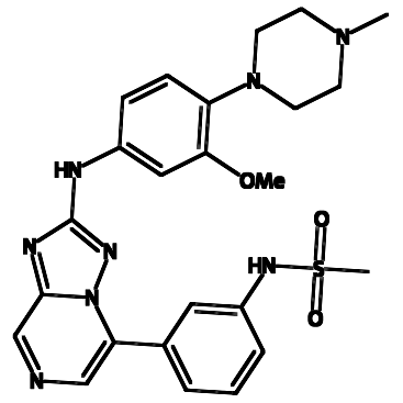 COc1cc(Nc2nc3cncc(-c4cccc(NS(C)(=O)=O)c4)n3n2)ccc1N1CCN(C)CC1